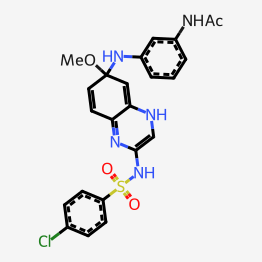 COC1(Nc2cccc(NC(C)=O)c2)C=CC2=NC(NS(=O)(=O)c3ccc(Cl)cc3)=CNC2=C1